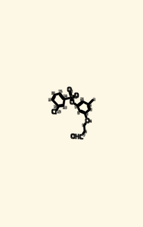 Cc1cc(OCCC=O)cc(OS(=O)(=O)c2cccc(Cl)c2)c1